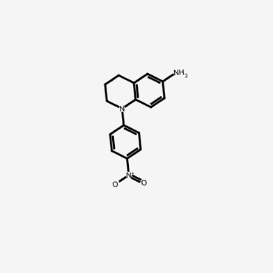 Nc1ccc2c(c1)CCCN2c1ccc([N+](=O)[O-])cc1